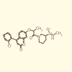 CN[S+]([O-])C1CCCN(C(=O)C(C)Oc2ccc3c(-c4ccccc4Cl)cc(=O)oc3c2)C1